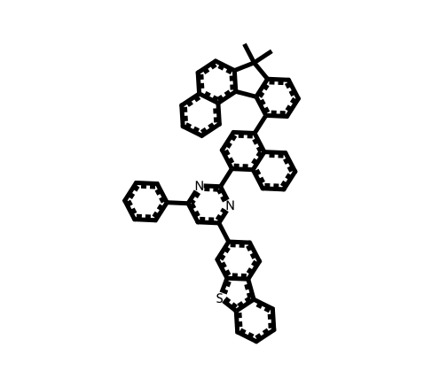 CC1(C)c2cccc(-c3ccc(-c4nc(-c5ccccc5)cc(-c5ccc6c(c5)sc5ccccc56)n4)c4ccccc34)c2-c2c1ccc1ccccc21